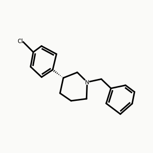 Clc1ccc([C@H]2CCCN(Cc3ccccc3)C2)cc1